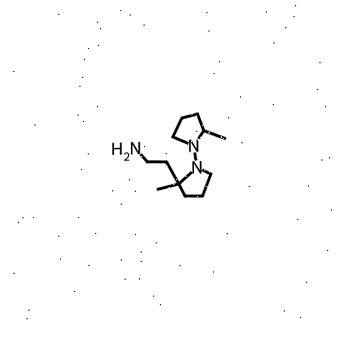 CC1CCCN1N1CCCC1(C)CCN